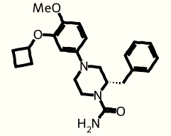 COc1ccc(N2CCN(C(N)=O)[C@@H](Cc3ccccc3)C2)cc1OC1CCC1